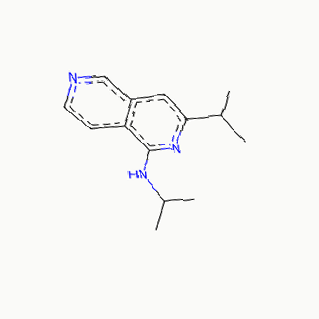 CC(C)Nc1nc(C(C)C)cc2cnccc12